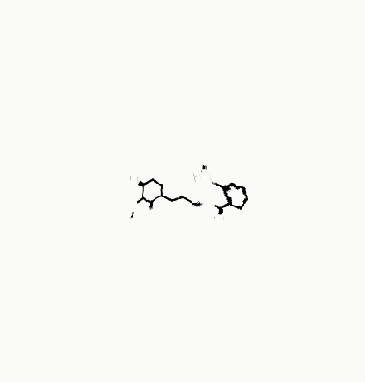 CNc1ccccc1C(=O)OCCCC1CCC(=O)C(SC)C1=O